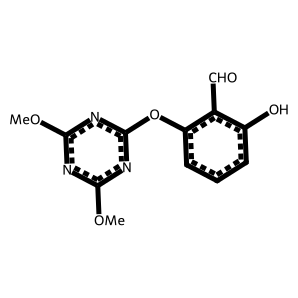 COc1nc(OC)nc(Oc2cccc(O)c2C=O)n1